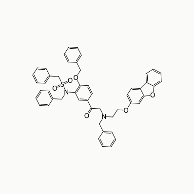 O=C(CN(CCOc1ccc2c(c1)oc1ccccc12)Cc1ccccc1)c1ccc(OCc2ccccc2)c(N(Cc2ccccc2)S(=O)(=O)Cc2ccccc2)c1